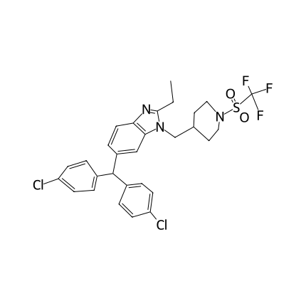 CCc1nc2ccc(C(c3ccc(Cl)cc3)c3ccc(Cl)cc3)cc2n1CC1CCN(S(=O)(=O)C(F)(F)F)CC1